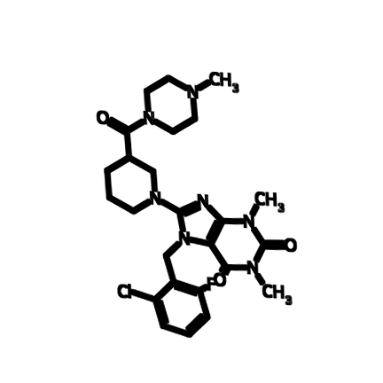 CN1CCN(C(=O)C2CCCN(c3nc4c(c(=O)n(C)c(=O)n4C)n3Cc3c(F)cccc3Cl)C2)CC1